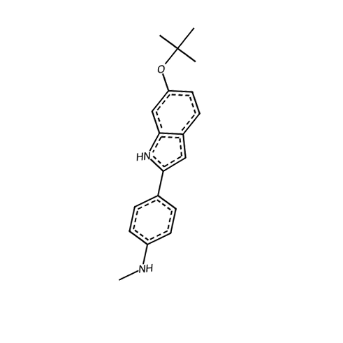 CNc1ccc(-c2cc3ccc(OC(C)(C)C)cc3[nH]2)cc1